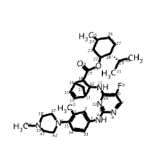 Cc1cc(Nc2ncc(F)c(NC3C4C=CC(C4)C3C(=O)OC3CC(C)CC[C@@H]3C(C)C)n2)ccc1N1CCN(C)CC1